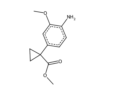 COC(=O)C1(c2ccc(N)c(OC)c2)CC1